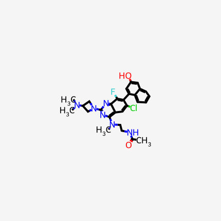 CC(=O)NCCN(C)c1nc(N2CC(N(C)C)C2)nc2c(F)c(-c3cc(O)cc4ccccc34)c(Cl)cc12